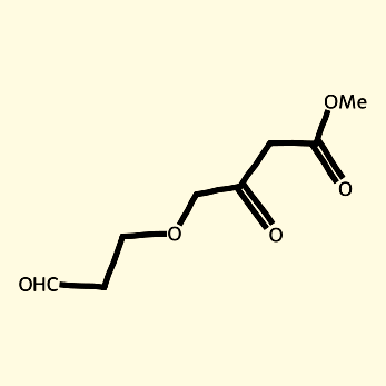 COC(=O)CC(=O)COCCC=O